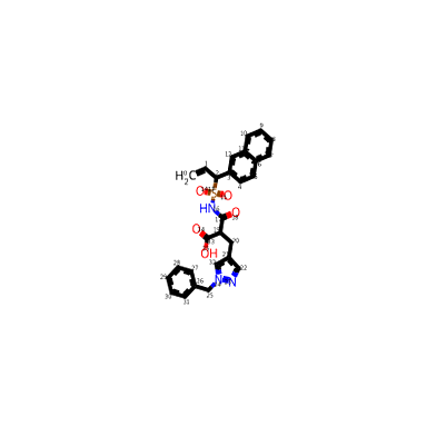 C=CC(c1ccc2ccccc2c1)S(=O)(=O)NC(=O)C(Cc1cnn(Cc2ccccc2)c1)C(=O)O